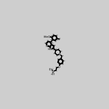 CCN(CC)CCOc1ccc(CN2CCC(c3cc4c(-c5cc(F)ccc5OC)ccnc4[nH]3)CC2)cc1